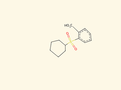 O=C(O)c1ccccc1S(=O)(=O)C1CCCCC1